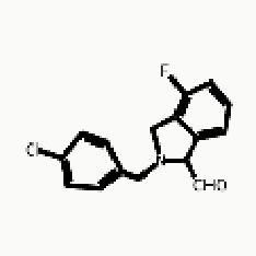 O=CC1c2cccc(F)c2CN1Cc1ccc(Cl)cc1